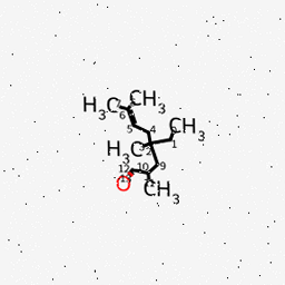 CCC(C)(CC=C(C)C)CC(C)C=O